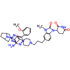 COc1ccccc1-c1cc(N2CC3CCC(C2)N3c2ncc(C3CCN(CCCc4ccc5c(c4)n(C)c(=O)n5C4CCC(=O)NC4=O)CC3)cn2)c(N)nn1